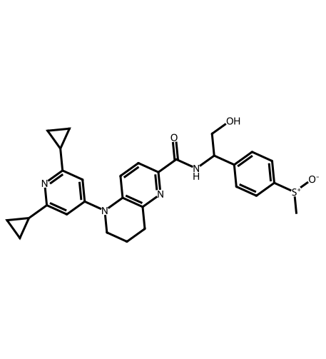 C[S+]([O-])c1ccc(C(CO)NC(=O)c2ccc3c(n2)CCCN3c2cc(C3CC3)nc(C3CC3)c2)cc1